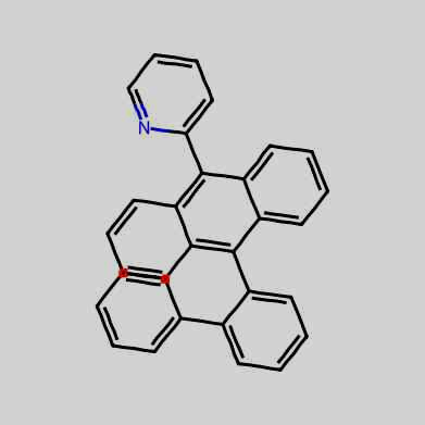 c1ccc(-c2ccccc2-c2c3ccccc3c(-c3ccccn3)c3ccccc23)cc1